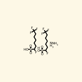 N.N.O=S(=O)(O)C(F)CCCCCC(F)(F)F.O=S(=O)(O)C(F)CCCCCC(F)(F)F